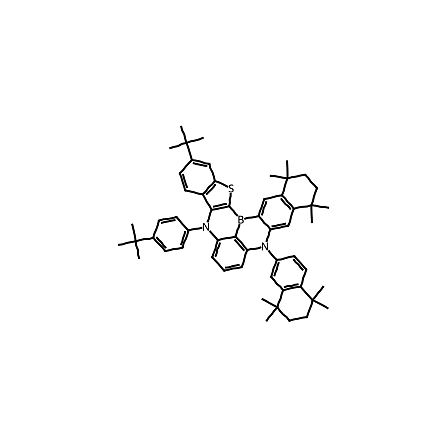 CC(C)(C)c1ccc(N2c3cccc4c3B(c3cc5c(cc3N4c3ccc4c(c3)C(C)(C)CCC4(C)C)C(C)(C)CCC5(C)C)c3sc4cc(C(C)(C)C)ccc4c32)cc1